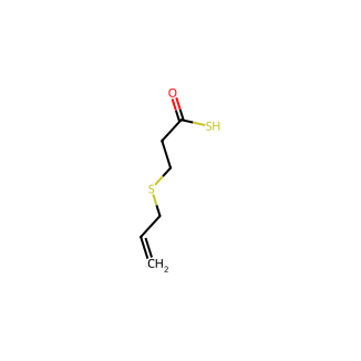 C=CCSCCC(=O)S